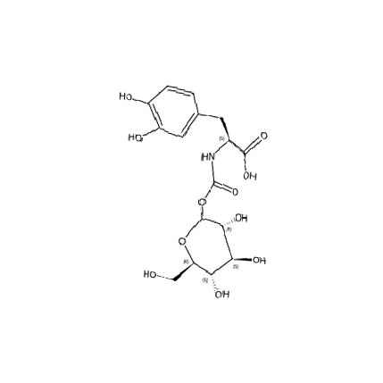 O=C(N[C@@H](Cc1ccc(O)c(O)c1)C(=O)O)OC1O[C@H](CO)[C@@H](O)[C@H](O)[C@H]1O